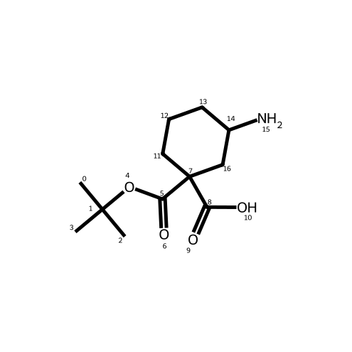 CC(C)(C)OC(=O)C1(C(=O)O)CCCC(N)C1